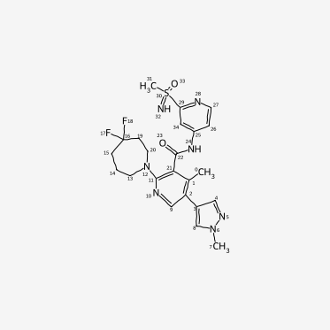 Cc1c(-c2cnn(C)c2)cnc(N2CCCC(F)(F)CC2)c1C(=O)Nc1ccnc(S(C)(=N)=O)c1